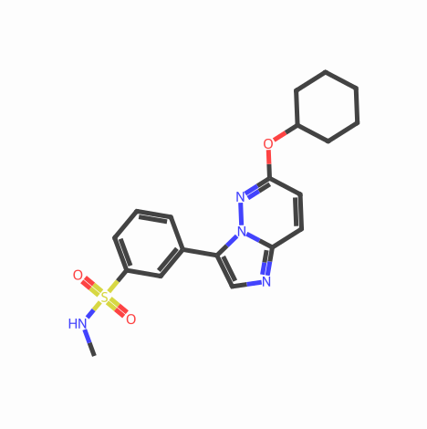 CNS(=O)(=O)c1cccc(-c2cnc3ccc(OC4CCCCC4)nn23)c1